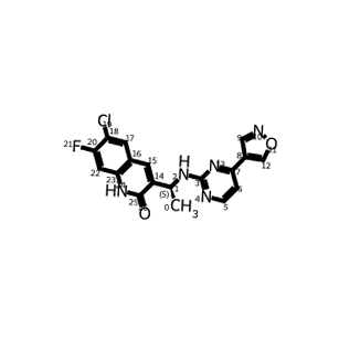 C[C@H](Nc1nccc(-c2cnoc2)n1)c1cc2cc(Cl)c(F)cc2[nH]c1=O